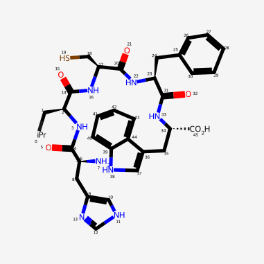 CC(C)C[C@H](NC(=O)[C@@H](N)Cc1c[nH]cn1)C(=O)N[C@@H](CS)C(=O)N[C@@H](Cc1ccccc1)C(=O)N[C@@H](Cc1c[nH]c2ccccc12)C(=O)O